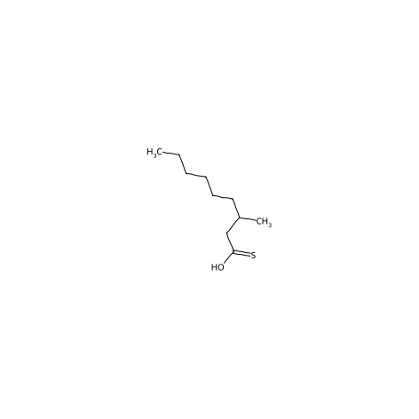 CCCCCCC(C)CC(O)=S